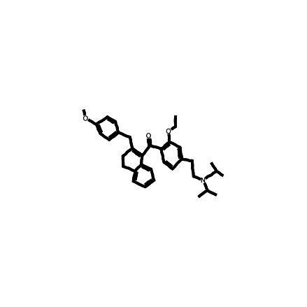 CCOc1cc(CCN(C(C)C)C(C)C)ccc1C(=O)C1=C(Cc2ccc(OC)cc2)CCc2ccccc21